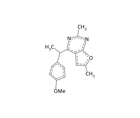 COc1ccc(C(C)c2nc(C)nc3oc(C)cc23)cc1